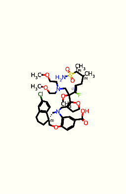 COCCN(CCOC)CC(OC)(C1=C(CN2C[C@@]3(CCCc4cc(Cl)ccc43)COc3ccc(C(=O)O)cc32)CCO1)/C(F)=C/C[C@H](C)[C@@H](C)S(N)(=O)=O